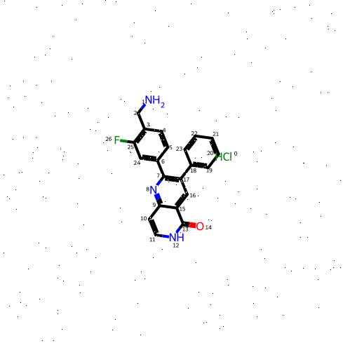 Cl.NCc1ccc(-c2nc3cc[nH]c(=O)c3cc2-c2ccccc2)cc1F